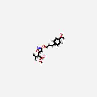 COC(=O)C(c1cc(OCCCc2ccc(C(C)=O)cc2)no1)C(C)C